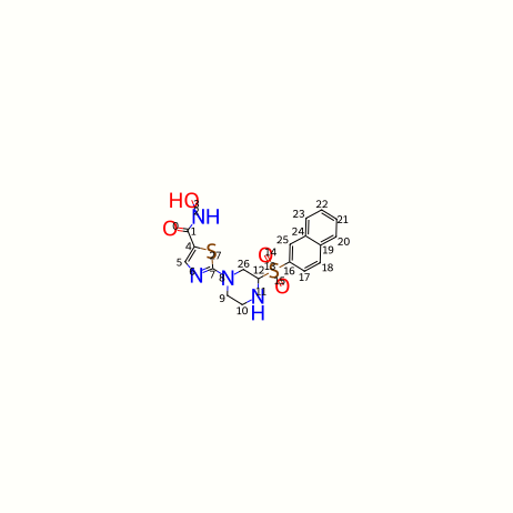 O=C(NO)c1cnc(N2CCNC(S(=O)(=O)c3ccc4ccccc4c3)C2)s1